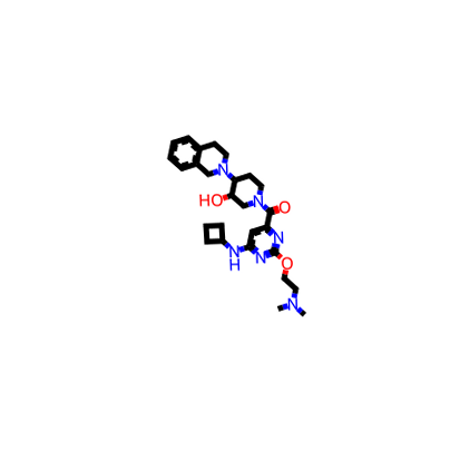 CN(C)CCOc1nc(NC2CCC2)cc(C(=O)N2CCC(N3CCc4ccccc4C3)C(O)C2)n1